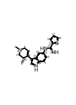 CN1CC=C(c2c[nH]c3ccc(NC(=N)c4cccs4)cc23)[C@H](F)C1